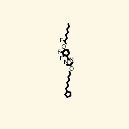 CCCCCCC(F)COc1ccc(-c2ncc(OCCCCCCCC3CCCC3)cn2)c(F)c1F